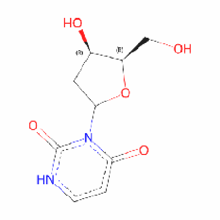 O=c1cc[nH]c(=O)n1C1C[C@@H](O)[C@@H](CO)O1